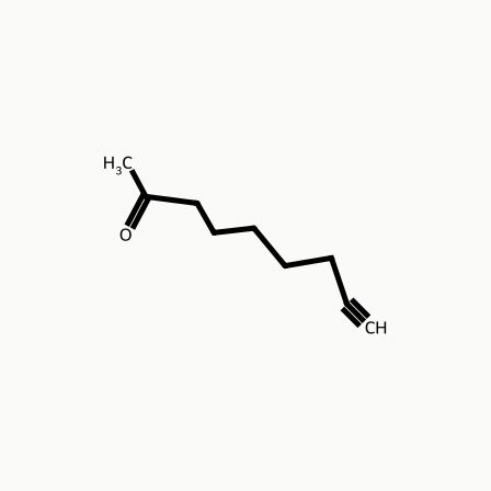 C#CCCCCCC(C)=O